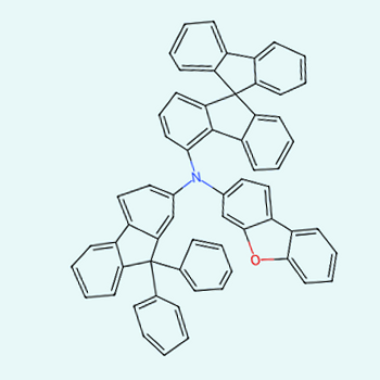 c1ccc(C2(c3ccccc3)c3ccccc3-c3ccc(N(c4ccc5c(c4)oc4ccccc45)c4cccc5c4-c4ccccc4C54c5ccccc5-c5ccccc54)cc32)cc1